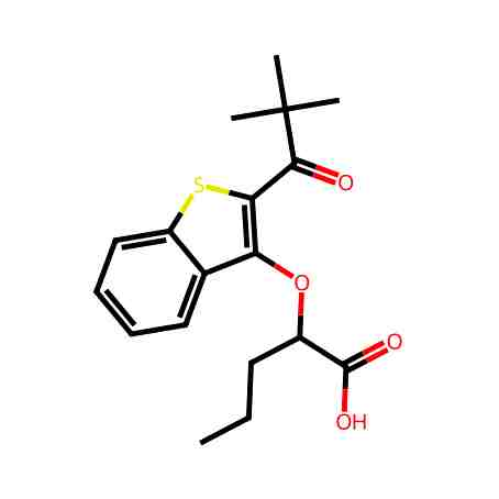 CCCC(Oc1c(C(=O)C(C)(C)C)sc2ccccc12)C(=O)O